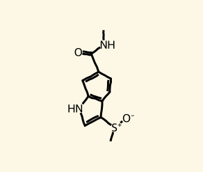 CNC(=O)c1ccc2c([S+](C)[O-])c[nH]c2c1